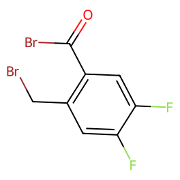 O=C(Br)c1cc(F)c(F)cc1CBr